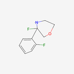 Fc1ccccc1C1(F)COCC[N]1